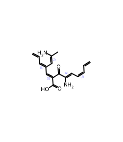 C=C/C=C\C=C(/N)C(=O)\C(=C/C(/C=C(/C)N)=C/C=C)C(=O)O